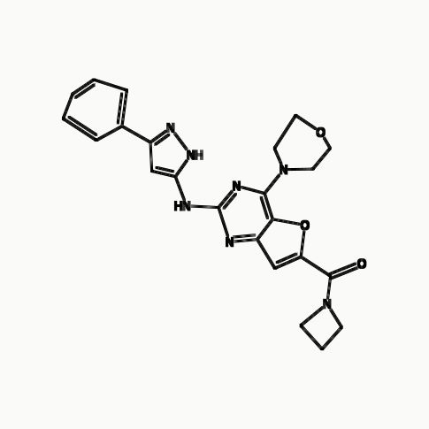 O=C(c1cc2nc(Nc3cc(-c4ccccc4)n[nH]3)nc(N3CCOCC3)c2o1)N1CCC1